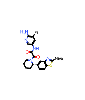 CCc1cc(NC(=O)C(=O)N2CCCC[C@H]2c2ccc3sc(NC)nc3c2)cnc1N